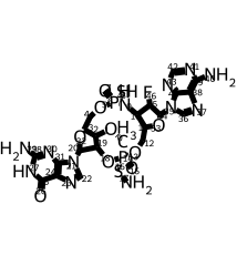 COC1C2CO[P@](=O)(S)NC3C(CO[P@](=O)(SN)OC1C(n1cnc4c(=O)[nH]c(N)nc41)O2)OC(n1cnc2c(N)ncnc21)C3F